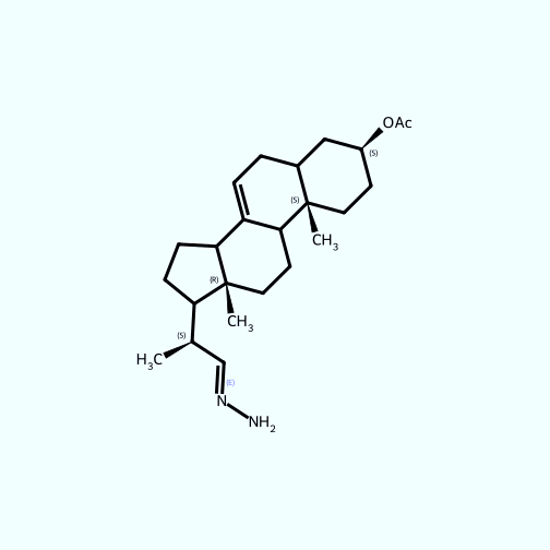 CC(=O)O[C@H]1CC[C@@]2(C)C(CC=C3C2CC[C@@]2(C)C3CCC2[C@H](C)/C=N/N)C1